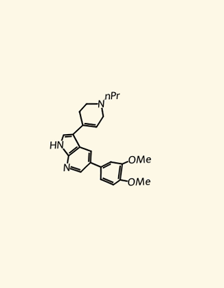 CCCN1CC=C(c2c[nH]c3ncc(-c4ccc(OC)c(OC)c4)cc23)CC1